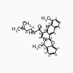 Cc1cccc2cc3c(=O)n(C(C)c4ccccc4)cc(C(=O)NCCN(C)C)c3nc12